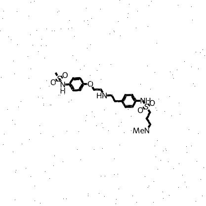 CNCCCS(=O)(=O)Nc1ccc(CCNCCOc2ccc(NS(C)(=O)=O)cc2)cc1